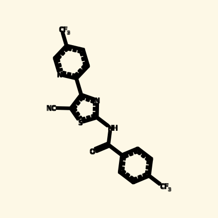 N#Cc1sc(NC(=O)c2ccc(C(F)(F)F)cc2)nc1-c1ccc(C(F)(F)F)cn1